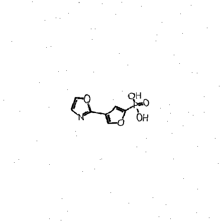 O=P(O)(O)c1cc(-c2ncco2)co1